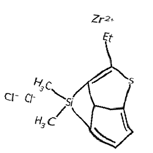 CCC1=C2C3C(=CC=C3[Si]2(C)C)S1.[Cl-].[Cl-].[Zr+2]